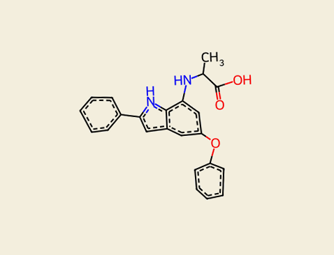 CC(Nc1cc(Oc2ccccc2)cc2cc(-c3ccccc3)[nH]c12)C(=O)O